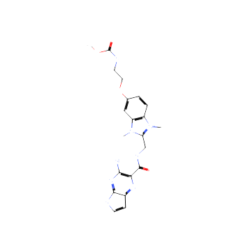 CCn1c(CNC(=O)c2nc3cc[nH]c3nc2N)[n+](CC)c2ccc(OCCNC(=O)OC(C)(C)C)cc21